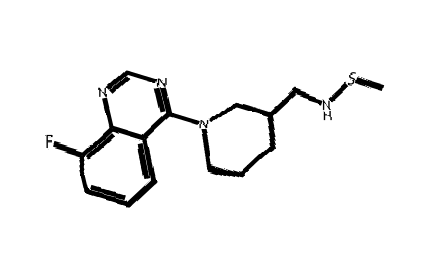 CSNCC1CCCN(c2ncnc3c(F)cccc23)C1